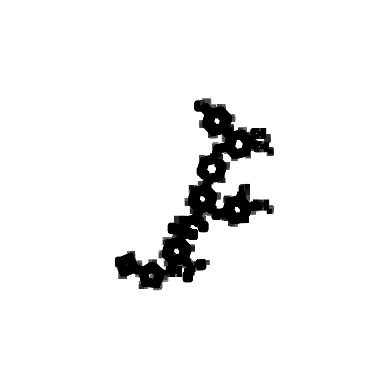 CC1(C)CCC(CN2CCN(c3ccc(C(=O)NS(=O)(=O)c4ccc(N[C@@H]5CCN(C6COC6)C5)c([N+](=O)[O-])c4)c(Oc4cnc(N)c(Cl)c4)c3)CC2)=C(c2ccc(Cl)cc2)C1